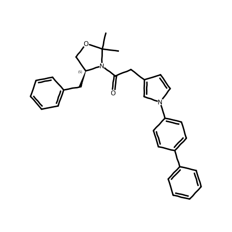 CC1(C)OC[C@H](Cc2ccccc2)N1C(=O)Cc1ccn(-c2ccc(-c3ccccc3)cc2)c1